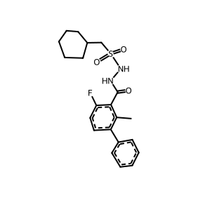 Cc1c(-c2ccccc2)ccc(F)c1C(=O)NNS(=O)(=O)CC1CCCCC1